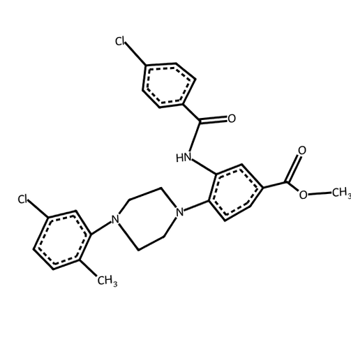 COC(=O)c1ccc(N2CCN(c3cc(Cl)ccc3C)CC2)c(NC(=O)c2ccc(Cl)cc2)c1